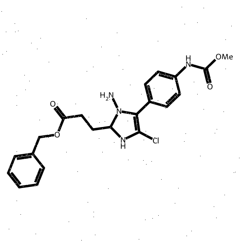 COC(=O)Nc1ccc(C2=C(Cl)NC(CCC(=O)OCc3ccccc3)N2N)cc1